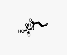 O=C(C=CF)OP(=O)(O)O